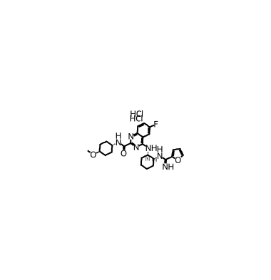 CO[C@H]1CC[C@H](NC(=O)c2nc(N[C@H]3CCCC[C@H]3NC(=N)c3ccco3)c3cc(F)ccc3n2)CC1.Cl.Cl